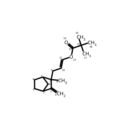 C=C1C2CCC(C2)C1(C)CC=COC(=O)C(C)(C)C